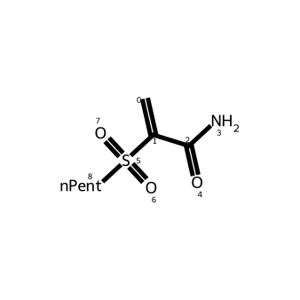 C=C(C(N)=O)S(=O)(=O)CCCCC